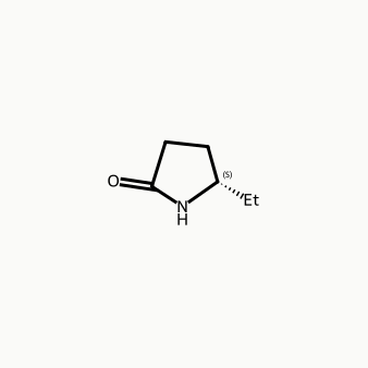 [CH2]C[C@H]1CCC(=O)N1